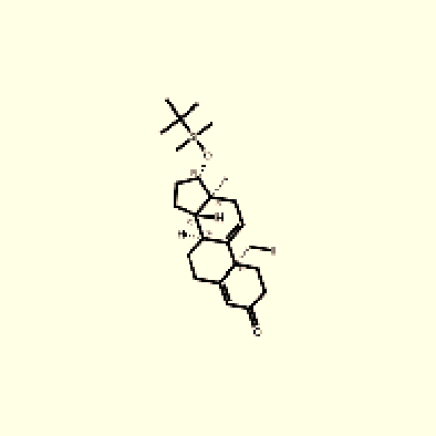 CC(C)(C)[Si](C)(C)O[C@H]1CC[C@H]2[C@@H]3CCC4=CC(=O)CC[C@]4(CI)C3=CC[C@]12C